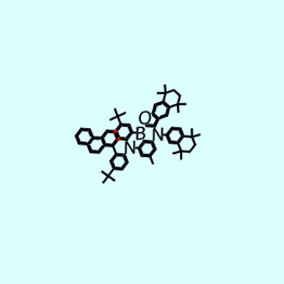 Cc1cc2c3c(c1)N(c1ccc4c(c1)C(C)(C)CCC4(C)C)c1c(oc4cc5c(cc14)C(C)(C)CCC5(C)C)B3c1cc(C(C)(C)C)ccc1N2c1ccc(C(C)(C)C)cc1-c1cccc2c1ccc1ccccc12